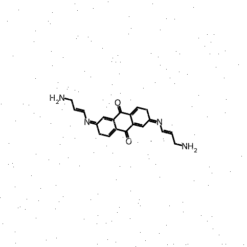 NCC=CN=C1C=C2C(=O)C3=CCC(=NC=CCN)C=C3C(=O)C2=CC1